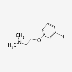 CN(C)CCOc1cccc(I)c1